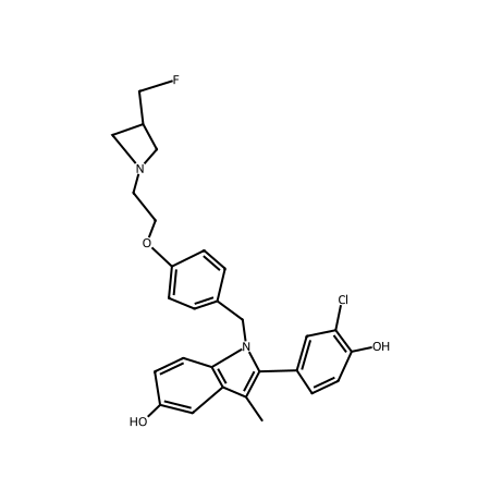 Cc1c(-c2ccc(O)c(Cl)c2)n(Cc2ccc(OCCN3CC(CF)C3)cc2)c2ccc(O)cc12